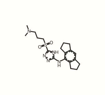 CN(C)CCCS(=O)(=O)c1nnc(Nc2c3c(cc4c2CCC4)CCC3)[nH]1